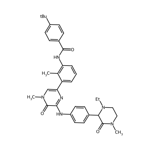 CCN1CCN(C)C(=O)C1c1ccc(Nc2nc(-c3cccc(NC(=O)c4ccc(C(C)(C)C)cc4)c3C)cn(C)c2=O)cc1